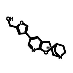 OCc1cc(-c2cnc3c(c2)C[C@@]2(CN4CCC2CC4)O3)co1